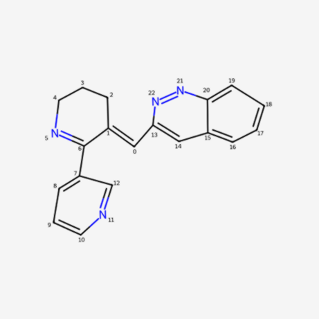 C(=C1CCCN=C1c1cccnc1)c1cc2ccccc2nn1